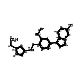 CC(C)Nc1cc(-c2cnn3cc(Cl)cnc23)ncc1CNc1cnn(CC(=O)O)c1